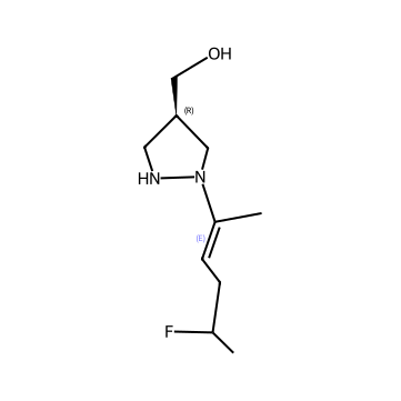 C/C(=C\CC(C)F)N1C[C@H](CO)CN1